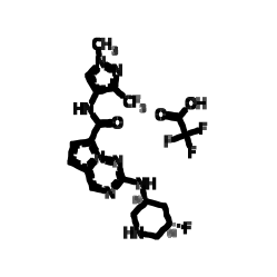 Cn1cc(NC(=O)c2ccc3cnc(N[C@@H]4CNC[C@@H](F)C4)nn23)c(C(F)(F)F)n1.O=C(O)C(F)(F)F